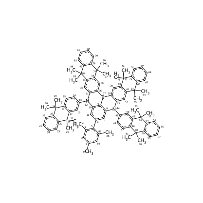 Cc1cc(C)c(-c2cc3c4c(c2)N(c2ccc5c(c2)C(C)(C)c2ccccc2C5(C)C)c2cc5c(cc2B4c2cc4c(cc2N3c2ccc3c(c2)C(C)(C)c2ccccc2C3(C)C)C(C)(C)c2ccccc2C4(C)C)C(C)(C)c2ccccc2C5(C)C)c(C)c1